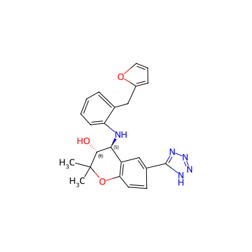 CC1(C)Oc2ccc(-c3nnn[nH]3)cc2[C@H](Nc2ccccc2Cc2ccco2)[C@H]1O